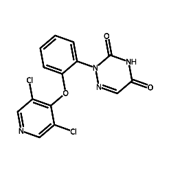 O=c1cnn(-c2ccccc2Oc2c(Cl)cncc2Cl)c(=O)[nH]1